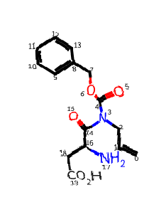 C=CCN(C(=O)OCc1ccccc1)C(=O)[C@@H](N)CC(=O)O